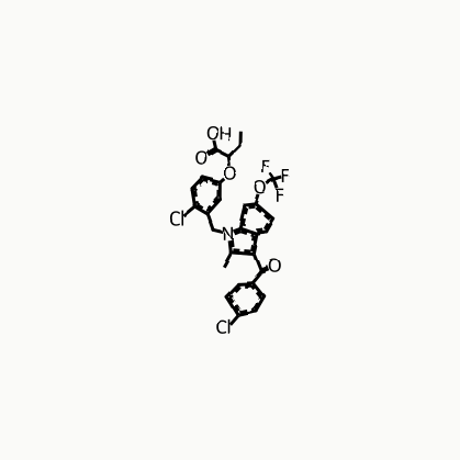 CCC(Oc1ccc(Cl)c(Cn2c(C)c(C(=O)c3ccc(Cl)cc3)c3ccc(OC(F)(F)F)cc32)c1)C(=O)O